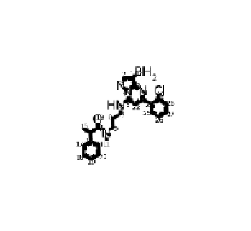 Bc1cnn2c(NCCCN(C)C(=O)C(C)c3ccccc3)cc(-c3ccccc3Cl)nc12